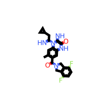 Cc1cc2c(cc1C(=O)N1Cc3c(F)ccc(F)c3C1)[nH]c(=O)c(=N)n2C(=N)CC1CC1